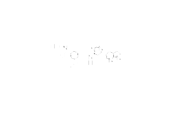 CNC(=O)c1ccc(CCNc2cc(-c3cnc4c(ccn4C4COC4)c3)ncn2)c(OC)c1